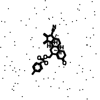 C=C1C(=C)[C@H]2[C@@H]3CC(COS(=O)(=O)c4ccc(C)cc4)C4=CC(=O)CC[C@]4(C)[C@@H]3CC[C@]2(C)C1C#N